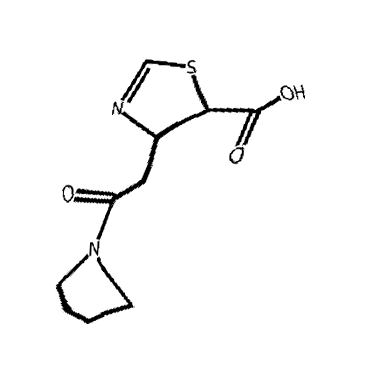 O=C(O)C1SC=NC1CC(=O)N1CCC1